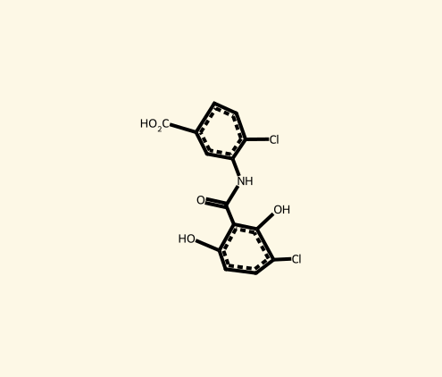 O=C(O)c1ccc(Cl)c(NC(=O)c2c(O)ccc(Cl)c2O)c1